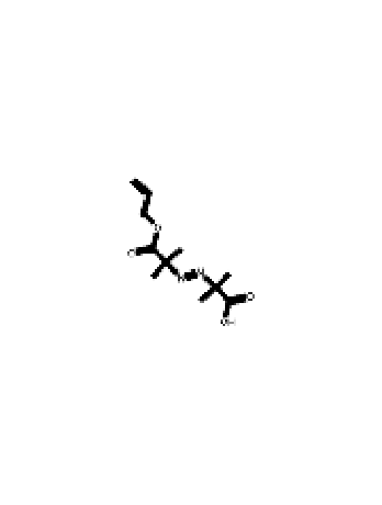 C=CCOC(=O)C(C)(C)N=NC(C)(C)C(=O)O